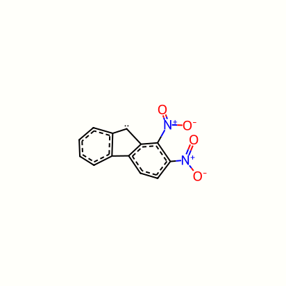 O=[N+]([O-])c1ccc2c(c1[N+](=O)[O-])[C]c1ccccc1-2